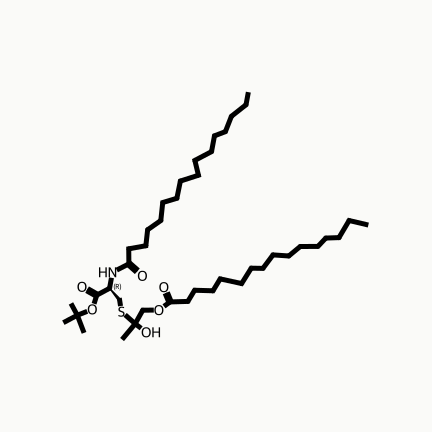 CCCCCCCCCCCCCCCC(=O)N[C@@H](CSC(C)(O)COC(=O)CCCCCCCCCCCCCCC)C(=O)OC(C)(C)C